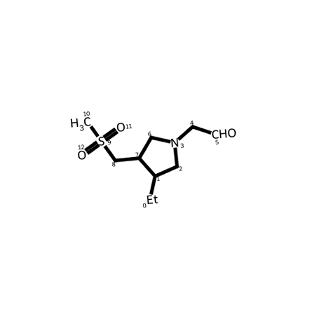 CCC1CN(CC=O)CC1CS(C)(=O)=O